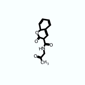 CC(=O)CNC(=O)C1C=C2C=CC=CC2OC1=O